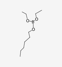 CCCCCCOB(OCC)OCC